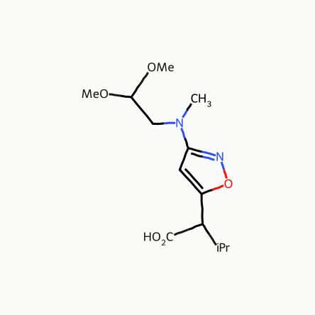 COC(CN(C)c1cc(C(C(=O)O)C(C)C)on1)OC